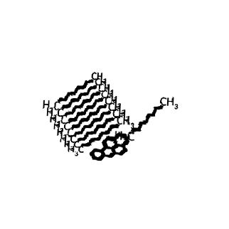 CCCCCCCCCC.CCCCCCCCCC.CCCCCCCCCC.CCCCCCCCCC.CCCCCCCCCC.CCCCCCCCCC.CCCCCCCCCC.CCCCCCCCCC.CCCCCCCCCC.c1ccc2c(c1)cc1ccc3cccc4ccc2c1c34